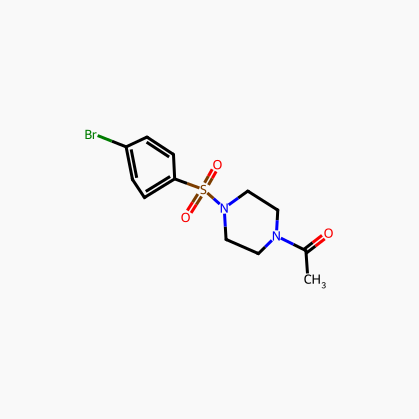 CC(=O)N1CCN(S(=O)(=O)c2ccc(Br)cc2)CC1